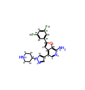 Nc1ncc(-c2cnn(C3CCNCC3)c2)c2cc(-c3cc(F)cc(F)c3)oc12